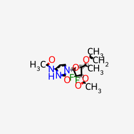 C=C(C)O[C@@H](C)[C@H]1O[C@@H](n2ccc(NC(C)=O)nc2=O)C(F)(F)[C@@H]1OC(C)=O